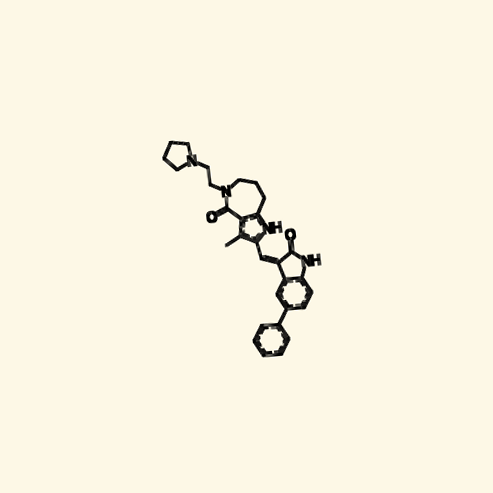 Cc1c(C=C2C(=O)Nc3ccc(-c4ccccc4)cc32)[nH]c2c1C(=O)N(CCN1CCCC1)CCC2